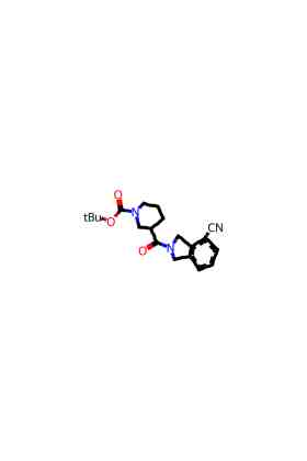 CC(C)(C)OC(=O)N1CCCC(C(=O)N2Cc3cccc(C#N)c3C2)C1